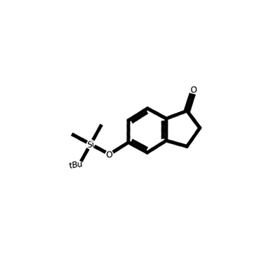 CC(C)(C)[Si](C)(C)Oc1ccc2c(c1)CCC2=O